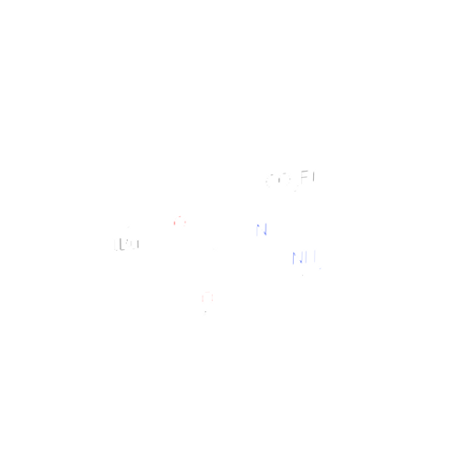 CCOC(=O)N(N)C(=O)OC(C)(C)C